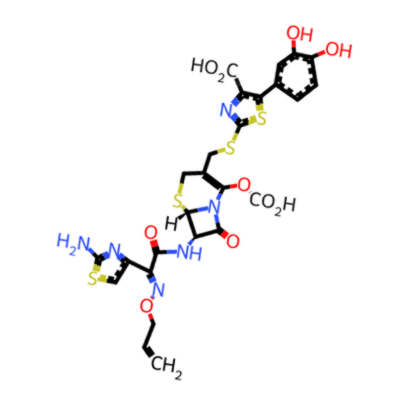 C=CCON=C(C(=O)N[C@@H]1C(=O)N2C(OC(=O)O)=C(CSc3nc(C(=O)O)c(-c4ccc(O)c(O)c4)s3)CS[C@@H]12)c1csc(N)n1